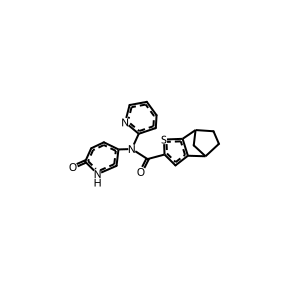 O=C(c1cc2c(s1)C1CCC2C1)N(c1ccc(=O)[nH]c1)c1ccccn1